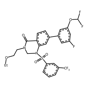 CCOCCN1CN(S(=O)(=O)c2cccc(C(F)(F)F)c2)c2cc(-c3cc(F)cc(OC(F)F)c3)ccc2C1=O